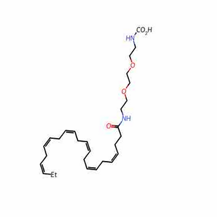 CC/C=C\C/C=C\C/C=C\C/C=C\C/C=C\C/C=C\CCC(=O)NCCOCCOCCNC(=O)O